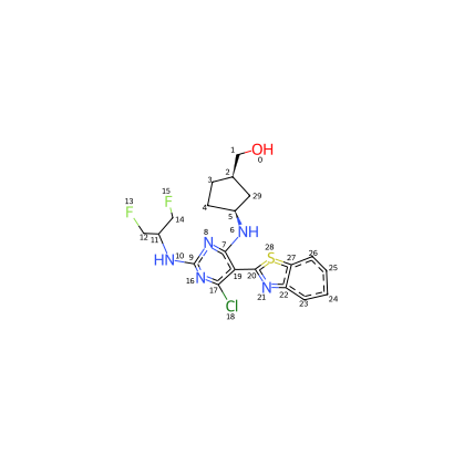 OC[C@@H]1CC[C@H](Nc2nc(NC(CF)CF)nc(Cl)c2-c2nc3ccccc3s2)C1